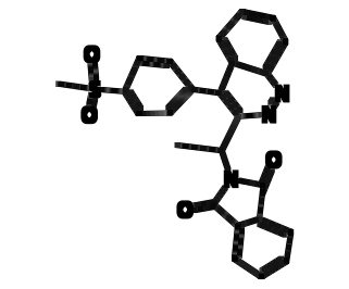 CC(c1nnc2ccccc2c1-c1ccc(S(C)(=O)=O)cc1)N1C(=O)c2ccccc2C1=O